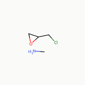 CN.ClCC1CO1